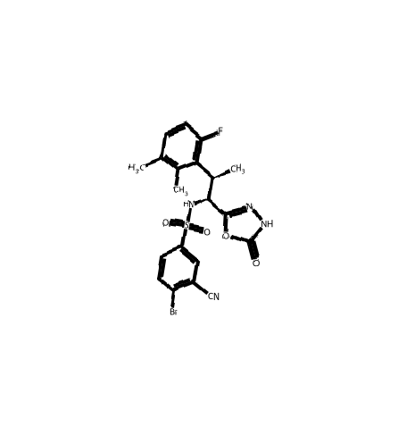 Cc1ccc(F)c([C@@H](C)[C@H](NS(=O)(=O)c2ccc(Br)c(C#N)c2)c2n[nH]c(=O)o2)c1C